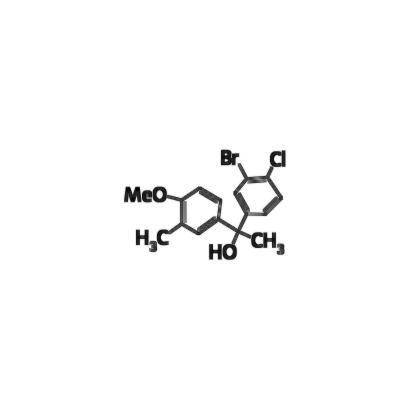 COc1ccc(C(C)(O)c2ccc(Cl)c(Br)c2)cc1C